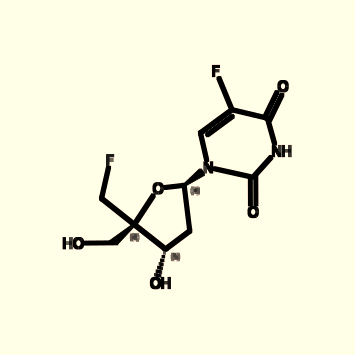 O=c1[nH]c(=O)n([C@H]2C[C@H](O)[C@](CO)(CF)O2)cc1F